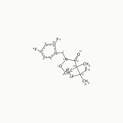 CON(Cc1ccc(F)cc1F)C(=O)C(C)(C)C(C)(F)F